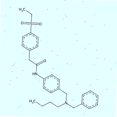 CCCCN(Cc1ccccc1)Cc1ccc(NC(=O)Cc2ccc(S(=O)(=O)CC)cc2)cc1